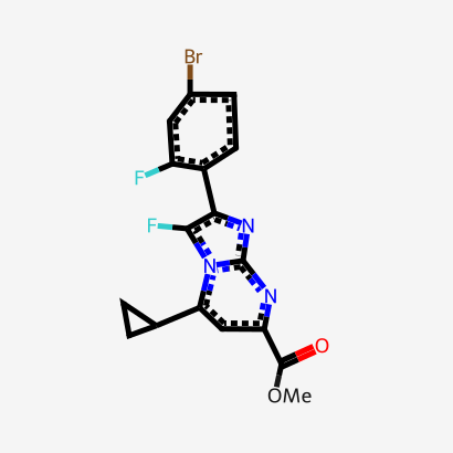 COC(=O)c1cc(C2CC2)n2c(F)c(-c3ccc(Br)cc3F)nc2n1